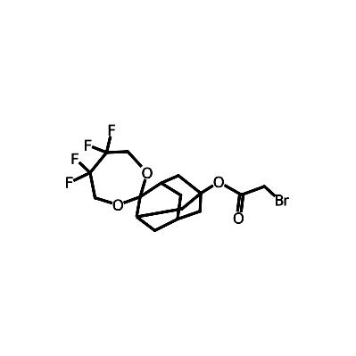 O=C(CBr)OC12CC3CC(C1)C1(OCC(F)(F)C(F)(F)CO1)C(C3)C2